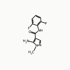 Cn1ncc(C(=O)Nc2c(F)cccc2F)c1N